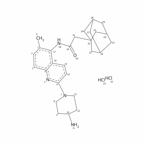 Cc1ccc2nc(N3CCC(N)CC3)ccc2c1NC(=O)CC12CC3CC(CC(C3)C1)C2.Cl.Cl